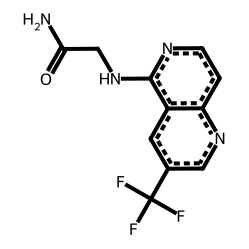 NC(=O)CNc1nccc2ncc(C(F)(F)F)cc12